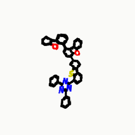 c1ccc(-c2nc(-c3ccccc3)nc(-c3cccc4c3sc3cc(-c5ccc(-c6cccc7c6oc6ccccc67)c6c5oc5ccccc56)ccc34)n2)cc1